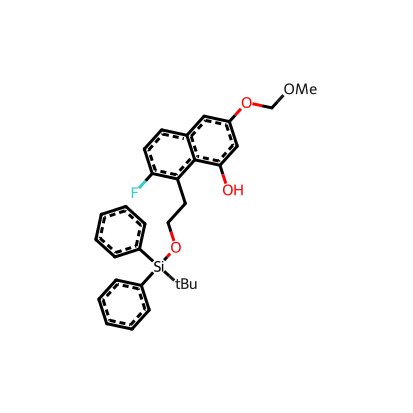 COCOc1cc(O)c2c(CCO[Si](c3ccccc3)(c3ccccc3)C(C)(C)C)c(F)ccc2c1